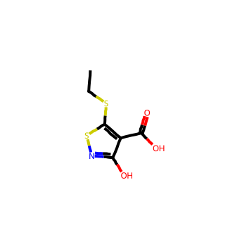 CCSc1snc(O)c1C(=O)O